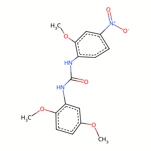 COc1ccc(OC)c(NC(=O)Nc2ccc([N+](=O)[O-])cc2OC)c1